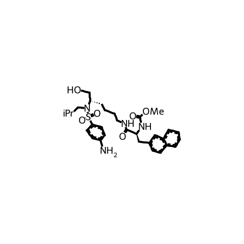 COC(=O)N[C@@H](Cc1ccc2ccccc2c1)C(=O)NCCCC[C@@H](CO)N(CC(C)C)S(=O)(=O)c1ccc(N)cc1